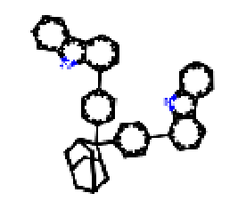 c1ccc2c(c1)[nH]c1c(-c3ccc(C4(c5ccc(-c6cccc7c6[nH]c6ccccc67)cc5)C5CC6CC(C5)CC4C6)cc3)cccc12